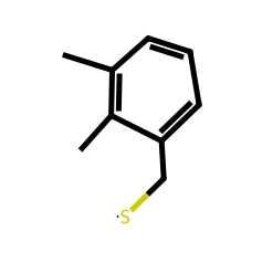 Cc1cccc(C[S])c1C